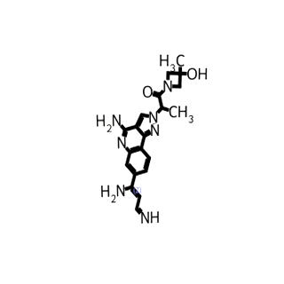 CC(C(=O)N1CC(C)(O)C1)n1cc2c(N)nc3cc(/C(N)=C/C=N)ccc3c2n1